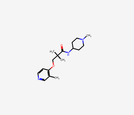 Cc1cnccc1OCC(C)(C)C(=O)NC1CCN(C)CC1